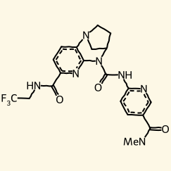 CNC(=O)c1ccc(NC(=O)N2c3nc(C(=O)NCC(F)(F)F)ccc3N3CCC2C3)nc1